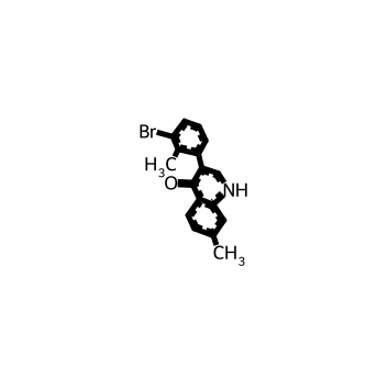 Cc1ccc2c(=O)c(-c3cccc(Br)c3C)c[nH]c2c1